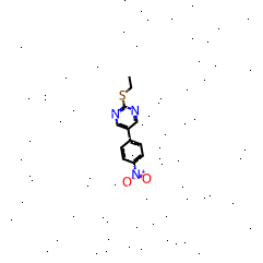 CCSc1ncc(-c2ccc([N+](=O)[O-])cc2)cn1